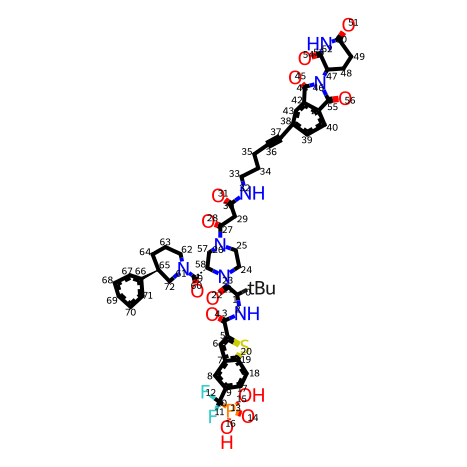 CC(C)(C)C(NC(=O)c1cc2cc(C(F)(F)P(=O)(O)O)ccc2s1)C(=O)N1CCN(C(=O)CC(=O)NCCCC#Cc2ccc3c(c2)C(=O)N(C2CCC(=O)NC2=O)C3=O)C[C@H]1C(=O)N1CCC[C@H](c2ccccc2)C1